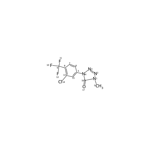 Cn1nnn(-c2ccc(C(F)(F)F)c(Cl)c2)c1=O